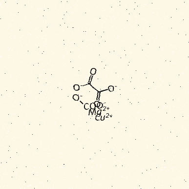 O=C([O-])C(=O)[O-].O=C([O-])[O-].[Cu+2].[Mg+2]